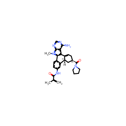 C=C(C)C(=O)Nc1ccc2c(c1)[C@H]1C[C@H](C(=O)N3CCCC3)CC=C1c1c-2n(C)c2ncnc(N)c12